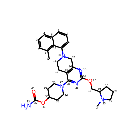 Cc1cccc2cccc(N3CCc4c(nc(OCC5CCCN5C)nc4N4CCC(OC(N)=O)CC4)C3)c12